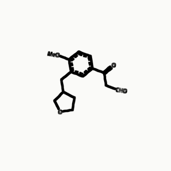 COc1ccc(C(=O)CC=O)cc1CC1CCOC1